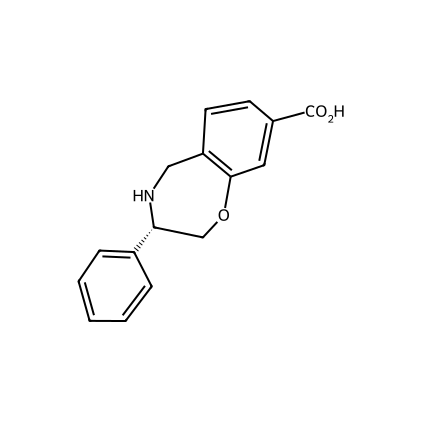 O=C(O)c1ccc2c(c1)OC[C@H](c1ccccc1)NC2